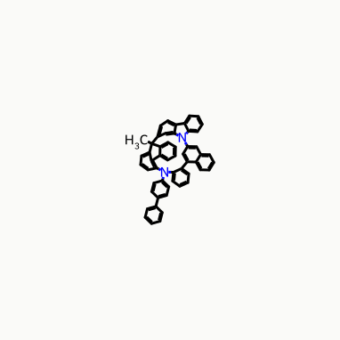 CC12c3ccc4c5ccccc5n(c4c3)-c3cc(c4ccccc4c3)-c3ccccc3N(c3ccc(-c4ccccc4)cc3)c3cccc1c3-c1ccccc12